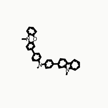 CN(c1ccc(-c2ccc3c(c2)Oc2ccccc2N3C)cc1)c1ccc(-c2ccc3c4ccccc4n(C)c3c2)cc1